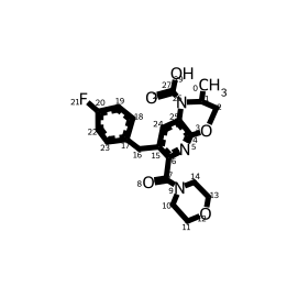 CC1COc2nc(C(=O)N3CCOCC3)c(Cc3ccc(F)cc3)cc2N1C(=O)O